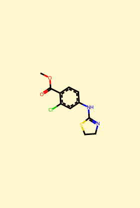 COC(=O)c1ccc(NC2=NCCS2)cc1Cl